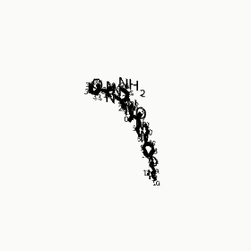 CC(C(=O)N1CCN(c2ccc(OCCN(C)C)cc2)CC1)n1cc2c(cc(N)n3nc(-c4ccco4)nc23)n1